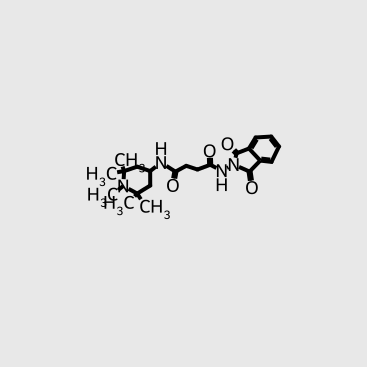 CN1C(C)(C)CC(NC(=O)CCC(=O)NN2C(=O)c3ccccc3C2=O)CC1(C)C